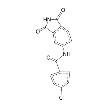 O=C(Nc1ccc2c(c1)C(=O)NC2=O)c1ccc(Cl)cc1